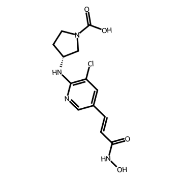 O=C(C=Cc1cnc(N[C@@H]2CCN(C(=O)O)C2)c(Cl)c1)NO